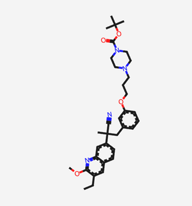 CCc1cc2ccc(C(C)(C#N)Cc3cccc(OCCCN4CCN(C(=O)OC(C)(C)C)CC4)c3)cc2nc1OC